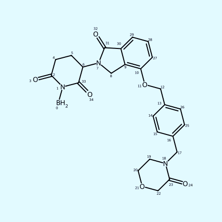 BN1C(=O)CCC(N2Cc3c(OCc4ccc(CN5CCOCC5=O)cc4)cccc3C2=O)C1=O